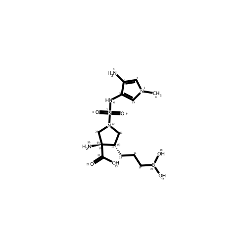 Cn1cc(N)c(NS(=O)(=O)N2C[C@H](CCCB(O)O)[C@](N)(C(=O)O)C2)c1